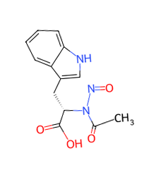 CC(=O)N(N=O)[C@@H](Cc1c[nH]c2ccccc12)C(=O)O